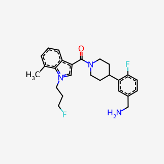 Cc1cccc2c(C(=O)N3CCC(c4cc(CN)ccc4F)CC3)cn(CCCF)c12